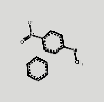 CNc1ccc([N+](=O)[O-])cc1.c1ccccc1